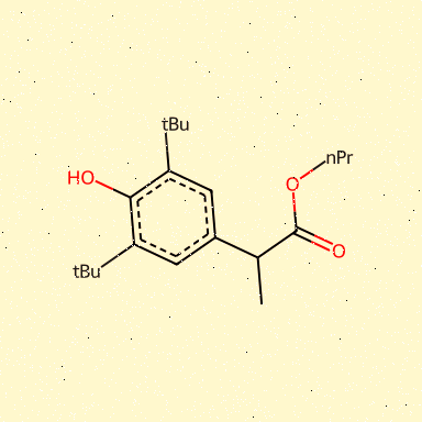 CCCOC(=O)C(C)c1cc(C(C)(C)C)c(O)c(C(C)(C)C)c1